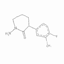 Cc1cc(C2CCCN(N)C2=O)ccc1F